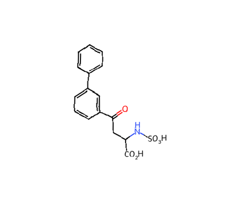 O=C(CC(NS(=O)(=O)O)C(=O)O)c1cccc(-c2ccccc2)c1